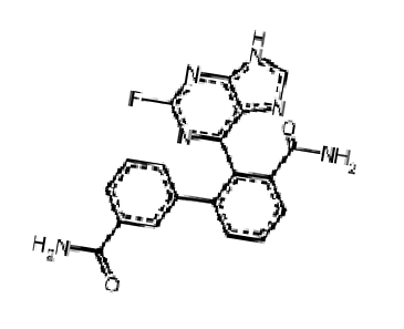 NC(=O)c1cccc(-c2cccc(C(N)=O)c2-c2nc(F)nc3[nH]cnc23)c1